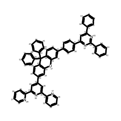 c1ccc(-c2cc(-c3ccc(-c4ccc5c(c4)Oc4cc(-c6cc(-c7ccccn7)nc(-c7ccccn7)c6)ccc4C5(c4ccccc4)c4ccccc4)cc3)nc(-c3ccccc3)n2)cc1